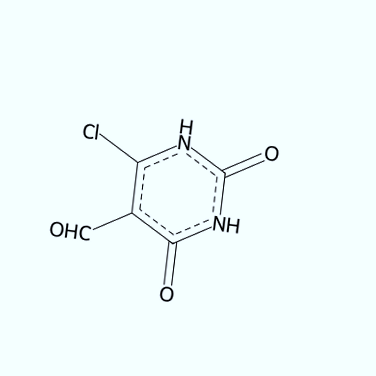 O=Cc1c(Cl)[nH]c(=O)[nH]c1=O